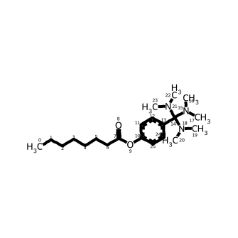 CCCCCCCC(=O)Oc1ccc(C(N(C)C)(N(C)C)N(C)C)cc1